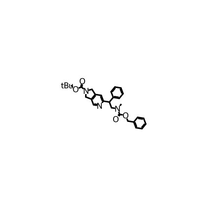 CN(CC(c1ccccc1)c1cc2c(cn1)CN(C(=O)OC(C)(C)C)C2)C(=O)OCc1ccccc1